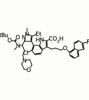 CCc1c(-c2c(Cl)ccc3c(CCCOc4cccc5cc(F)ccc45)c(C(=O)O)[nH]c23)c(C(CCN2CCOCC2)N(C)C(=O)OC(C)(C)C)nn1C